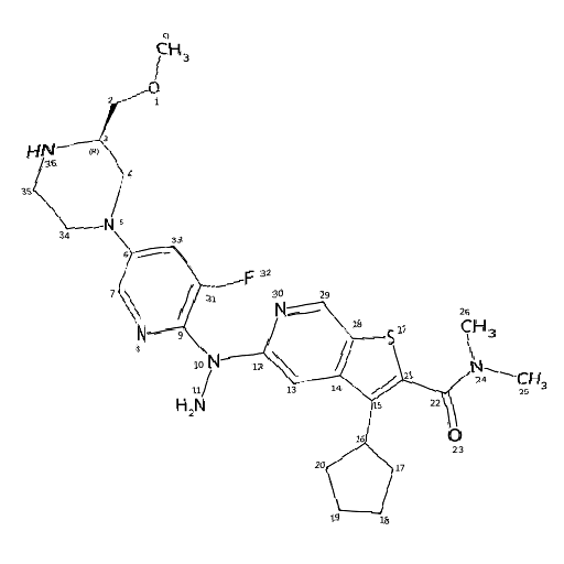 COC[C@H]1CN(c2cnc(N(N)c3cc4c(C5CCCC5)c(C(=O)N(C)C)sc4cn3)c(F)c2)CCN1